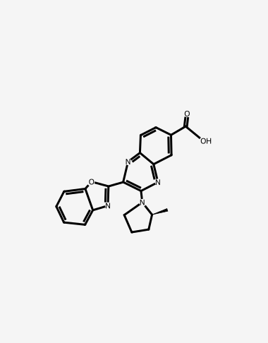 C[C@H]1CCCN1c1nc2cc(C(=O)O)ccc2nc1-c1nc2ccccc2o1